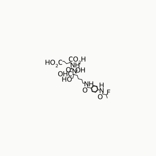 CC(F)C(=O)Nc1ccc(C(=O)NCCCCC(C=O)(CO)N(O)C(=O)N[C@@H](CCC(=O)O)C(=O)O)cc1